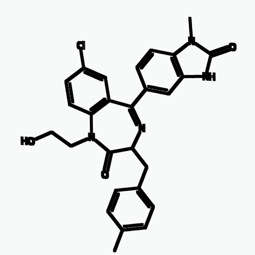 Cc1ccc(CC2N=C(c3ccc4c(c3)[nH]c(=O)n4C)c3cc(Cl)ccc3N(CCO)C2=O)cc1